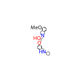 COc1cccc2c1CCN(CC(O)COc1cccc(CNC3CCCC3)c1)C2